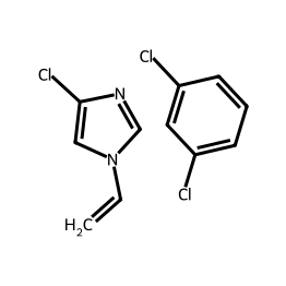 C=Cn1cnc(Cl)c1.Clc1cccc(Cl)c1